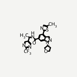 Cc1cnc(-c2cc(C(=O)N[C@H](C)c3cnc(C(F)(F)F)nc3)cc3c2cnn3[C@@H]2CCOC2)s1